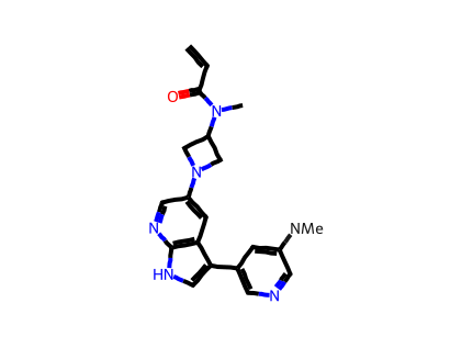 C=CC(=O)N(C)C1CN(c2cnc3[nH]cc(-c4cncc(NC)c4)c3c2)C1